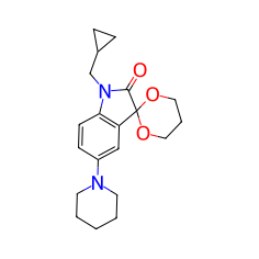 O=C1N(CC2CC2)c2ccc(N3CCCCC3)cc2C12OCCCO2